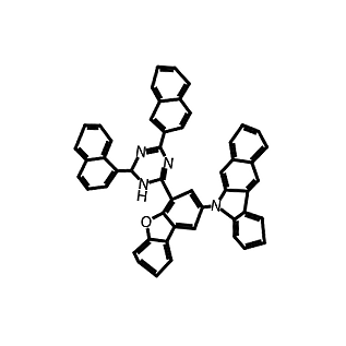 c1ccc2cc(C3=NC(c4cccc5ccccc45)NC(c4cc(-n5c6ccccc6c6cc7ccccc7cc65)cc5c4oc4ccccc45)=N3)ccc2c1